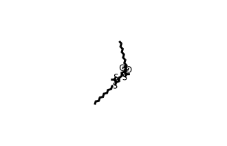 CCCCCCCCCCSc1cc(-c2cc(S(=O)(=O)CCCCCCCCCC)c(C)s2)sc1C